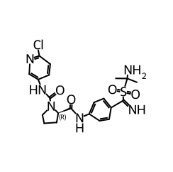 CC(C)(N)S(=O)(=O)C(=N)c1ccc(NC(=O)[C@H]2CCCN2C(=O)Nc2ccc(Cl)nc2)cc1